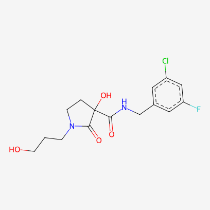 O=C(NCc1cc(F)cc(Cl)c1)C1(O)CCN(CCCO)C1=O